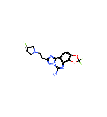 Nc1nc2c3c(ccc2c2nc(CCN4CC[C@@H](F)C4)nn12)OC(F)(F)O3